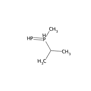 CC(C)[PH](C)=P